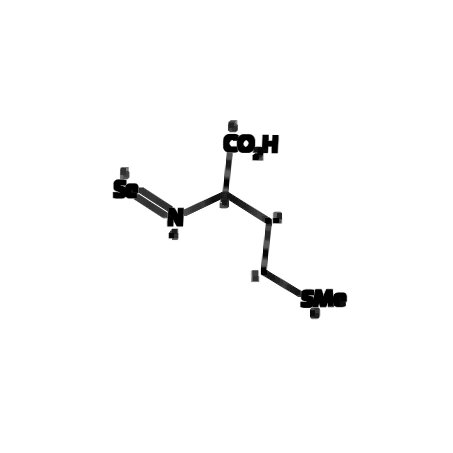 CSCCC(N=[Se])C(=O)O